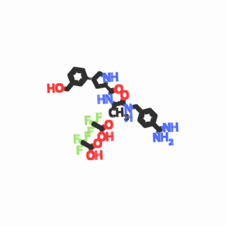 CC(NC(=O)[C@H]1C[C@H](c2cccc(CO)c2)CN1)C(=O)NCc1ccc(C(=N)N)cc1.O=C(O)C(F)(F)F.O=C(O)C(F)(F)F